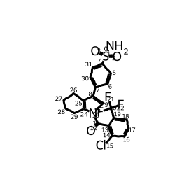 NS(=O)(=O)c1ccc(-c2cn(C(=O)c3c(Cl)cccc3C(F)(F)F)c3c2CCCC3)cc1